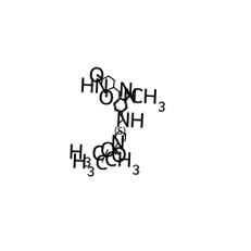 Cn1nc(C2CCC(=O)NC2=O)c2ccc(NC[C@@H]3CCN(C(=O)OC(C)(C)C)C3)cc21